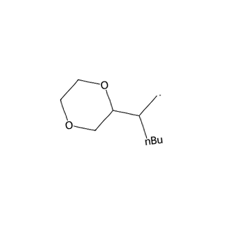 [CH2]C(CCCC)C1COCCO1